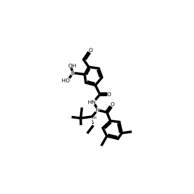 CC[C@@H](N(NC(=O)c1ccc(C=O)c(B(O)O)c1)C(=O)c1cc(C)cc(C)c1)C(C)(C)C